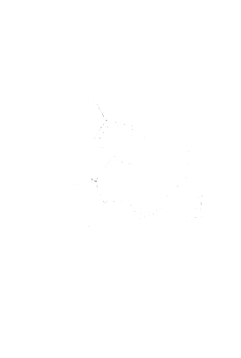 COc1cccc2cc(C(=O)N(C)c3cccc(F)c3)oc12